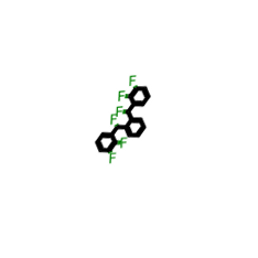 Fc1cccc(C(F)c2ccccc2C(F)c2cccc(F)c2F)c1F